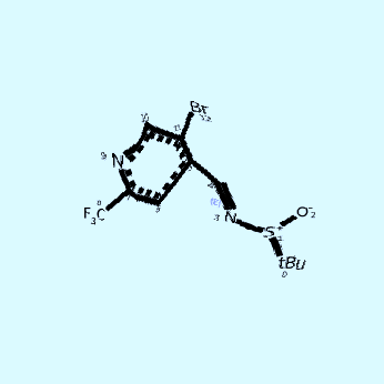 CC(C)(C)[S+]([O-])/N=C/c1cc(C(F)(F)F)ncc1Br